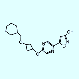 Oc1cc(-c2cnc(OC3CC(OCC4CCCCC4)C3)cn2)on1